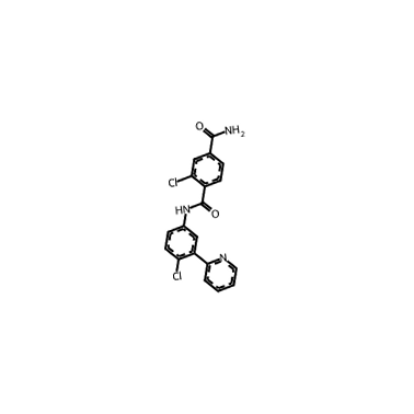 NC(=O)c1ccc(C(=O)Nc2ccc(Cl)c(-c3ccccn3)c2)c(Cl)c1